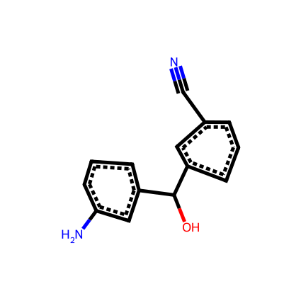 N#Cc1cccc(C(O)c2cccc(N)c2)c1